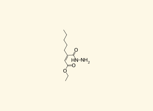 CCCCCC(=CC(=O)OCC)C(=O)NN